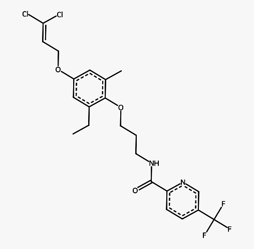 CCc1cc(OCC=C(Cl)Cl)cc(C)c1OCCCNC(=O)c1ccc(C(F)(F)F)cn1